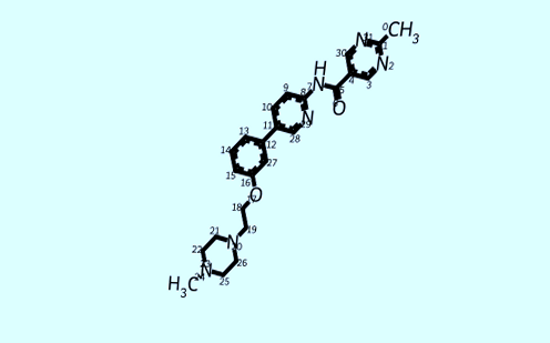 Cc1ncc(C(=O)Nc2ccc(-c3cccc(OCCN4CCN(C)CC4)c3)cn2)cn1